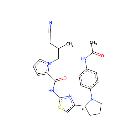 CC(=O)Nc1ccc(N2CCC[C@@H]2c2csc(NC(=O)c3cccn3CC(C)CC#N)n2)cc1